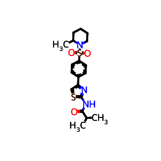 CC(C)C(=O)Nc1nc(-c2ccc(S(=O)(=O)N3CCCCC3C)cc2)cs1